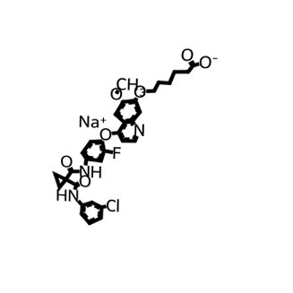 COc1cc2c(Oc3ccc(NC(=O)C4(C(=O)Nc5cccc(Cl)c5)CC4)cc3F)ccnc2cc1OCCCCCC(=O)[O-].[Na+]